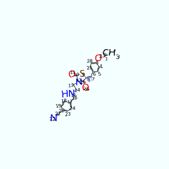 CCOc1ccc(/C=C2\SC(=O)N(CCNCc3ccc(C#N)cc3)C2=O)cc1